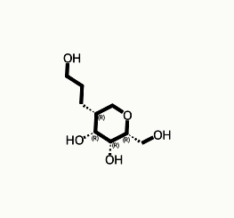 OCCC[C@@H]1CO[C@H](CO)[C@H](O)[C@@H]1O